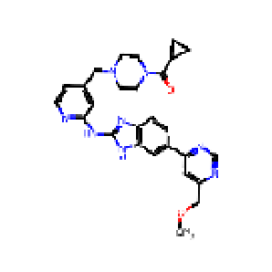 COCc1cc(-c2ccc3nc(Nc4cc(CN5CCN(C(=O)C6CC6)CC5)ccn4)[nH]c3c2)ncn1